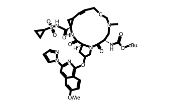 COc1ccc2c(OC3C[C@H]4C(=O)N[C@]5(C(=O)NS(=O)(=O)C6CC6)CC5/C=C\CCCN(C)C[C@H](NC(=O)OC(C)(C)C)C(=O)N4C3)nc(-n3cccn3)cc2c1